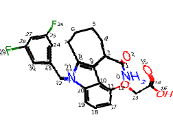 NC(=O)C1CCCCc2c1c1c(OCC(=O)O)cccc1n2Cc1cc(F)cc(F)c1